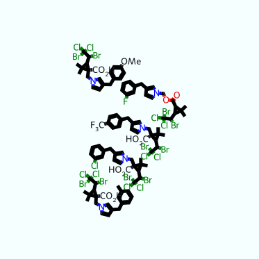 CC1(C)C(C(=O)OCn2ccc(Cc3cccc(F)c3)c2)C1C(Br)C(Cl)(Cl)Br.CC1(C)C(C(Br)C(Cl)(Cl)Br)C1(Cn1ccc(Cc2ccc(C(F)(F)F)cc2)c1)C(=O)O.CC1(C)C(C(Br)C(Cl)(Cl)Br)C1(Cn1ccc(Cc2cccc(Cl)c2)c1)C(=O)O.COc1ccc(Cc2ccn(CC3(C(=O)O)C(C(Br)C(Cl)(Cl)Br)C3(C)C)c2)cc1.Cc1cccc(Cc2ccn(CC3(C(=O)O)C(C(Br)C(Cl)(Cl)Br)C3(C)C)c2)c1